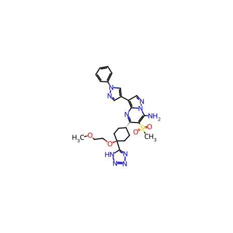 COCCO[C@]1(c2nnn[nH]2)CC[C@@H](c2nc3c(-c4cnn(-c5ccccc5)c4)cnn3c(N)c2S(C)(=O)=O)CC1